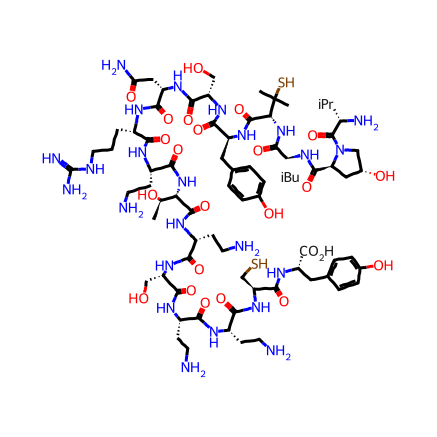 CC[C@H](C)[C@H](NC(=O)[C@@H]1C[C@@H](O)CN1C(=O)[C@@H](N)C(C)C)C(=O)N[C@H](C(=O)N[C@@H](Cc1ccc(O)cc1)C(=O)N[C@@H](CO)C(=O)N[C@@H](CC(N)=O)C(=O)N[C@@H](CCCNC(=N)N)C(=O)N[C@@H](CCN)C(=O)N[C@H](C(=O)N[C@H](CCN)C(=O)N[C@@H](CO)C(=O)N[C@@H](CCN)C(=O)N[C@@H](CCN)C(=O)N[C@@H](CS)C(=O)N[C@@H](Cc1ccc(O)cc1)C(=O)O)[C@@H](C)O)C(C)(C)S